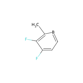 Cc1bccc(F)c1F